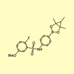 COc1ccc(F)c(S(=O)(=O)Nc2ccc(B3OC4(C)C(C)C4(C)O3)cc2)c1